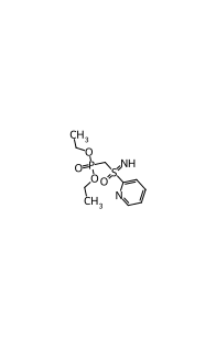 CCOP(=O)(CS(=N)(=O)c1ccccn1)OCC